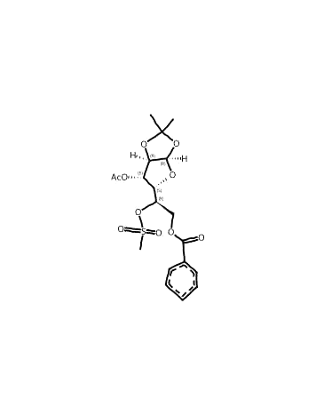 CC(=O)O[C@@H]1[C@H]2OC(C)(C)O[C@H]2O[C@@H]1[C@@H](COC(=O)c1ccccc1)OS(C)(=O)=O